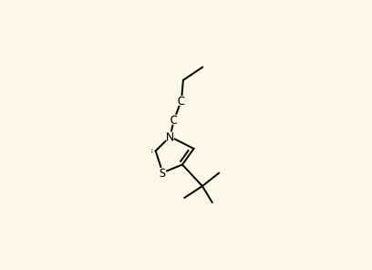 CCCCN1[C]SC(C(C)(C)C)=C1